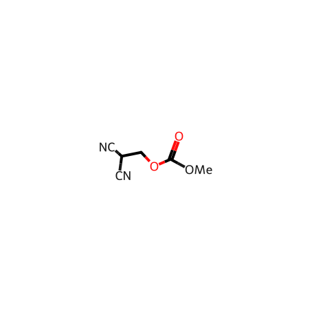 COC(=O)OCC(C#N)C#N